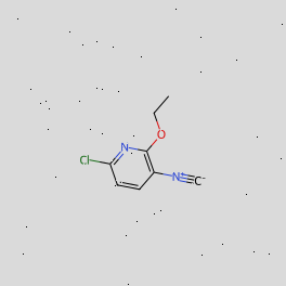 [C-]#[N+]c1ccc(Cl)nc1OCC